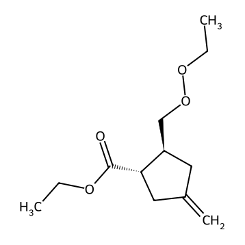 C=C1C[C@H](COOCC)[C@@H](C(=O)OCC)C1